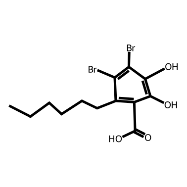 CCCCCCc1c(Br)c(Br)c(O)c(O)c1C(=O)O